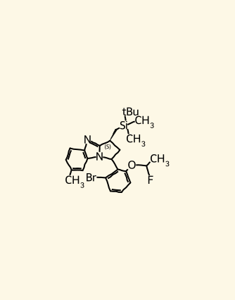 Cc1ccc2nc3n(c2c1)C(c1c(Br)cccc1OC(C)F)C[C@@H]3C[Si](C)(C)C(C)(C)C